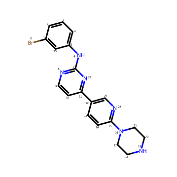 Brc1cccc(Nc2nccc(-c3ccc(N4CCNCC4)nc3)n2)c1